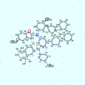 CC(C)(C)c1ccc(N2c3cc4c(cc3B3c5c2cc(-c2cccc(S(c6ccccc6)(c6ccccc6)c6ccccc6)c2)cc5N(c2ccc(C(C)(C)C)cc2)c2oc5ccc(C(C)(C)C)cc5c23)C(C)(C)CCC4(C)C)cc1